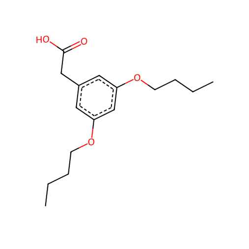 CCCCOc1cc(CC(=O)O)cc(OCCCC)c1